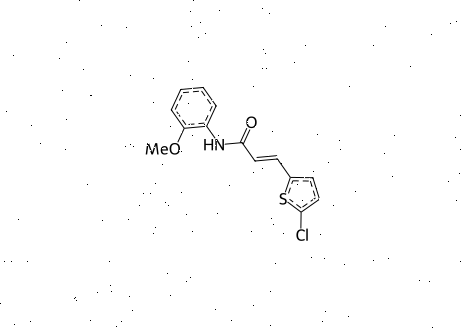 COc1ccccc1NC(=O)/C=C/c1ccc(Cl)s1